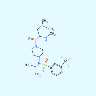 CNC(CC(C)C)C(=O)N1CCC(N(C(C)C)S(=O)(=O)c2cccc(C(F)(F)F)c2)CC1